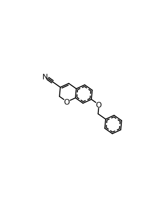 N#CC1=Cc2ccc(OCc3ccccc3)cc2OC1